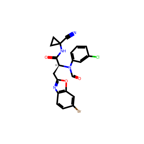 N#CC1(NC(=O)[C@H](Cc2nc3ccc(Br)cc3o2)N(C=O)c2cccc(Cl)c2)CC1